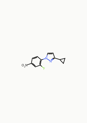 O=[N+]([O-])c1ccc(-n2ccc(C3CC3)n2)c(F)c1